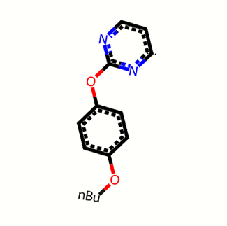 CCCCOc1ccc(Oc2n[c]ccn2)cc1